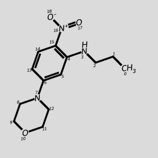 CCCNc1cc(N2CCOCC2)ccc1[N+](=O)[O-]